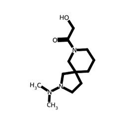 CN(C)N1CCC2(CCCN(C(=O)CO)C2)C1